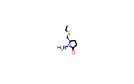 BN1C(=O)CC[C@@H]1CSCC